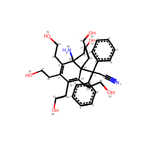 N#CC(c1ccccc1)(c1ccccc1)C1(CCO)C(CCO)=C(CCO)C(CCO)=C(CCO)C1(N)CCO